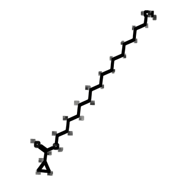 CCCCCCCCCCCCCCCCCOC(=O)C1CC1